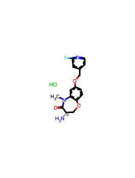 CN1C(=O)[C@@H](N)COc2ccc(OCc3ccnc(F)c3)cc21.Cl